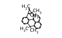 C=C1C2(C)c3cccc4c3-c3c5c(cccc5cc[n+]3C12C)C4(C)C